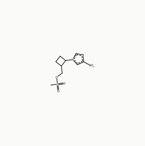 CS(=O)(=O)OCC1CCC1n1cnc([N+](=O)[O-])c1